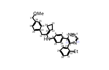 CC/C=N\C(=C(/N)c1ccc(NC(Cc2ccc(COC)cc2)=C2CCC2)cc1)c1ccccc1CC